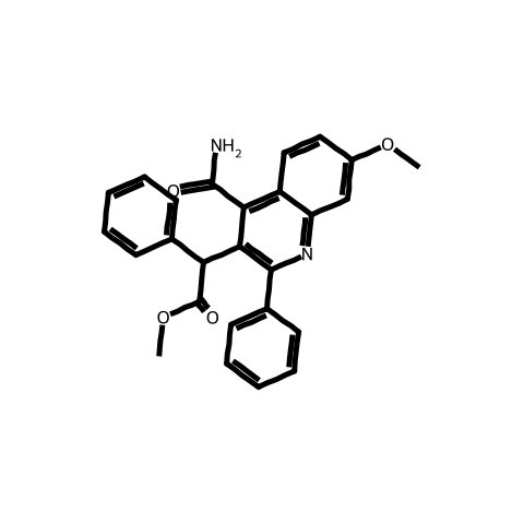 COC(=O)C(c1ccccc1)c1c(-c2ccccc2)nc2cc(OC)ccc2c1C(N)=O